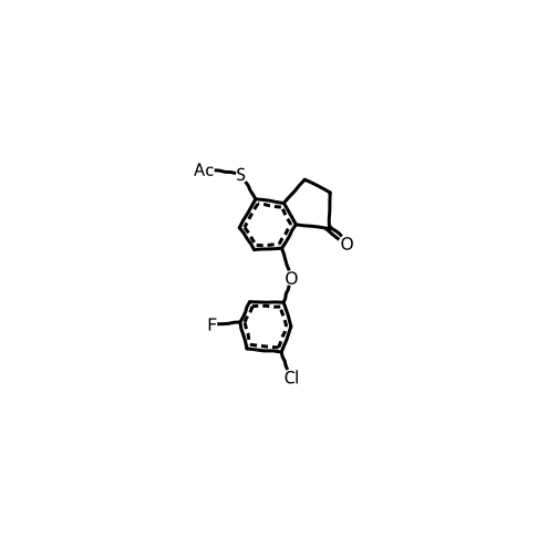 CC(=O)Sc1ccc(Oc2cc(F)cc(Cl)c2)c2c1CCC2=O